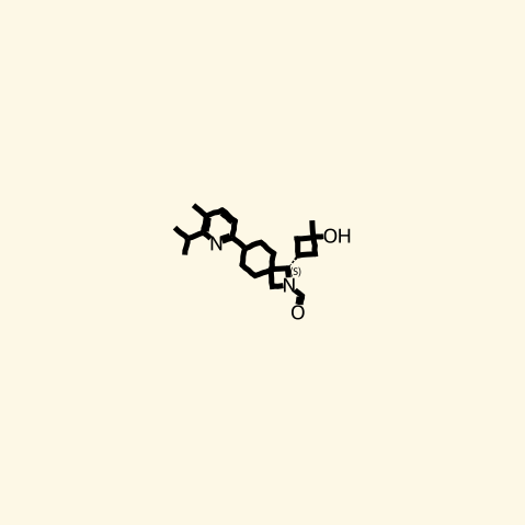 Cc1ccc(C2CCC3(CC2)CN(C=O)[C@H]3C2CC(C)(O)C2)nc1C(C)C